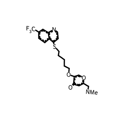 CNCc1cc(=O)c(OCCCCCSc2ccnc3cc(C(F)(F)F)ccc23)co1